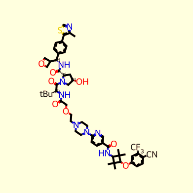 Cc1ncsc1-c1ccc([C@H](NC(=O)[C@@H]2C[C@@H](O)CN2C(=O)[C@@H](NC(=O)COCCN2CCN(c3ccc(C(=O)NC4C(C)(C)C(Oc5ccc(C#N)c(C(F)(F)F)c5)C4(C)C)cn3)CC2)C(C)(C)C)C2COC2)cc1